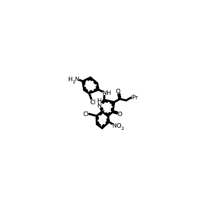 CC(C)CC(=O)c1c(Nc2ccc(N)cc2Cl)[nH]c2c(Cl)ccc([N+](=O)[O-])c2c1=O